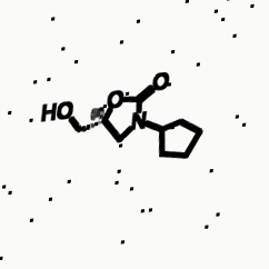 O=C1O[C@@H](CO)CN1C1CCCC1